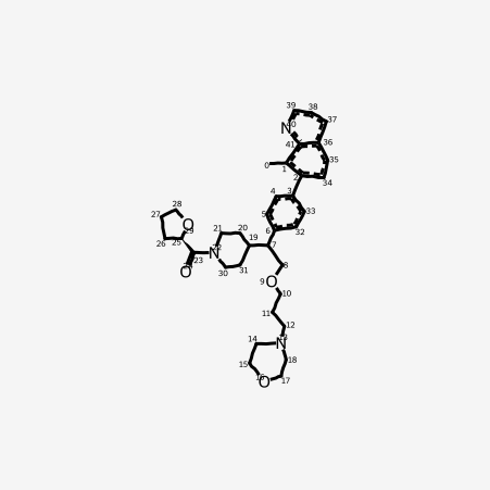 Cc1c(-c2ccc(C(COCCCN3CCOCC3)C3CCN(C(=O)[C@H]4CCCO4)CC3)cc2)ccc2cccnc12